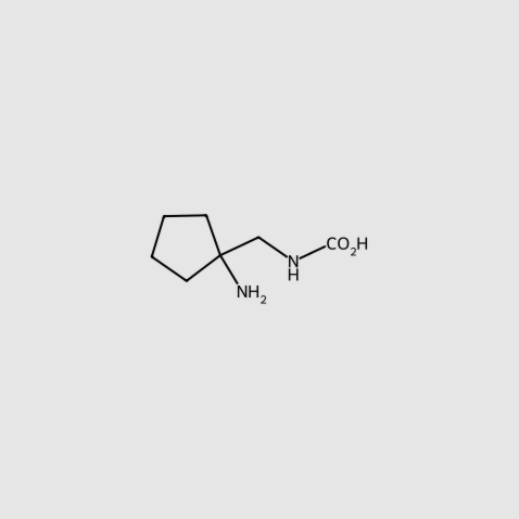 NC1(CNC(=O)O)CCCC1